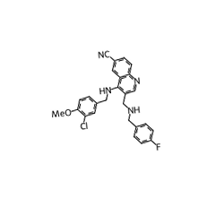 COc1ccc(CNc2c(CNCc3ccc(F)cc3)cnc3ccc(C#N)cc23)cc1Cl